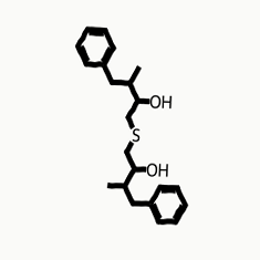 CC(Cc1ccccc1)C(O)CSCC(O)C(C)Cc1ccccc1